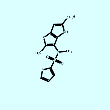 Cc1sc2cc(C(=O)O)[nH]c2c1N(C)S(=O)(=O)c1cccs1